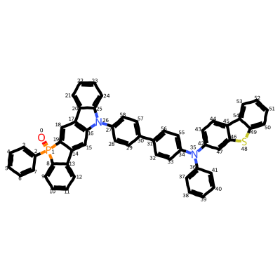 O=P1(c2ccccc2)c2ccccc2-c2cc3c(cc21)c1ccccc1n3-c1ccc(-c2ccc(N(c3ccccc3)c3ccc4c(c3)sc3ccccc34)cc2)cc1